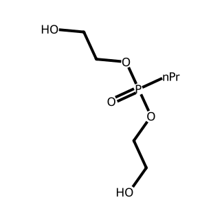 CCCP(=O)(OCCO)OCCO